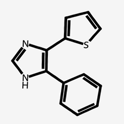 c1ccc(-c2[nH]cnc2-c2cccs2)cc1